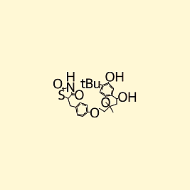 CC1(CCOc2ccc(CC3SC(=O)NC3=O)cc2)CC(O)c2cc(O)c(C(C)(C)C)cc2O1